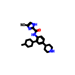 CC1CCC(c2cc(C3CCNCC3)ccc2NC(=O)c2nc(C#N)c[nH]2)CC1